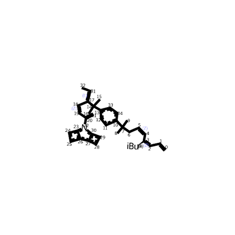 C=C/C=C(\C=C/CC(C)(C)c1ccc(C(C)(C)C(/C=C\C(=C)n2c3ccc3c3ccc32)=C/C)cc1)[C@H](C)CC